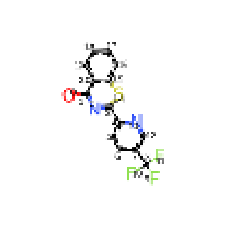 O=c1nc(-c2ccc(C(F)(F)F)cn2)sc2ccccc12